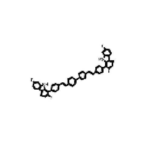 Fc1ccc2c(c1)[nH]c1c(-c3ccc(C=Cc4ccc(-c5ccc(C=Cc6ccc(-c7c(F)ccc8c7[nH]c7cc(F)ccc78)cc6)cc5)cc4)cc3)c(F)ccc12